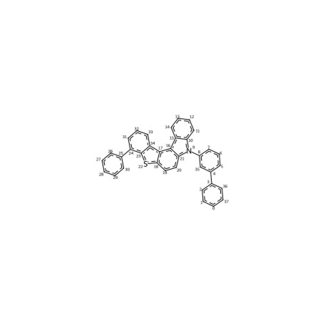 c1ccc(-c2cccc(-n3c4ccccc4c4c5c(ccc43)sc3c(-c4ccccc4)cccc35)c2)cc1